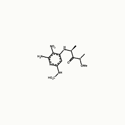 CON(C)C(=O)[C@H](C)Nc1cc(NC(=O)O)nc(N)c1[N+](=O)[O-]